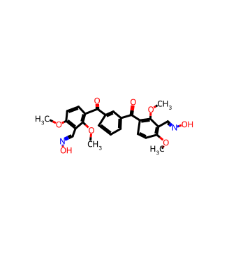 COc1ccc(C(=O)c2cccc(C(=O)c3ccc(OC)c(/C=N/O)c3OC)c2)c(OC)c1/C=N/O